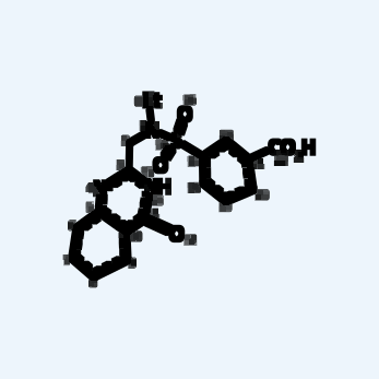 CCN(Cc1nc2ccccc2c(=O)[nH]1)S(=O)(=O)c1cccc(C(=O)O)c1